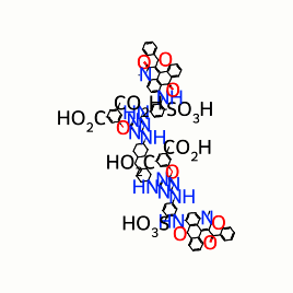 Cn1c(=O)c(C(=O)c2ccccc2)c2c3c(c(Nc4cc(Nc5nc(NC6CCC(CC7CCC(Nc8nc(Nc9ccc(S(=O)(=O)O)c(Nc%10ccc%11c%12c%10C(=O)c%10ccccc%10-c%12c(C(=O)c%10ccccc%10)c(=O)n%11C)c9)nc(Oc9cc(C(=O)O)cc(C(=O)O)c9)n8)CC7)CC6)nc(Oc6cc(C(=O)O)cc(C(=O)O)c6)n5)ccc4S(=O)(=O)O)ccc31)C(=O)c1ccccc1-2